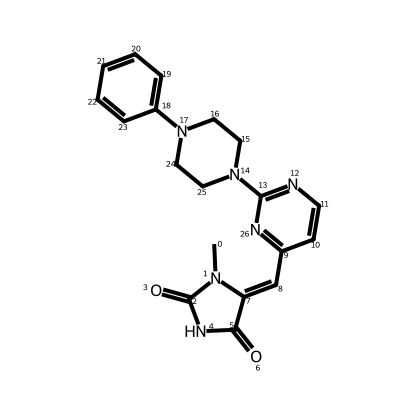 CN1C(=O)NC(=O)C1=Cc1ccnc(N2CCN(c3ccccc3)CC2)n1